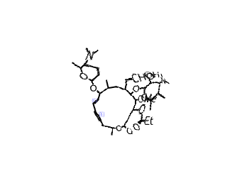 CCC(=O)OC1CC(=O)OC(C)C/C=C/C=C/C(OC2CCC(N(C)C)C(C)O2)C(C)CC(CC=O)C(OC2OC(C)C(C)C(N(C)C)C2O)C1OC